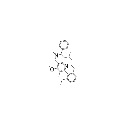 CCc1cccc(CC)c1-c1ncc(CN(C)C(CC(C)C)c2ccccc2)c(OC)c1C